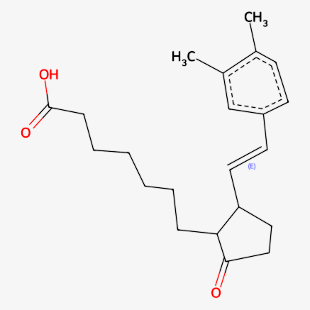 Cc1ccc(/C=C/C2CCC(=O)C2CCCCCCC(=O)O)cc1C